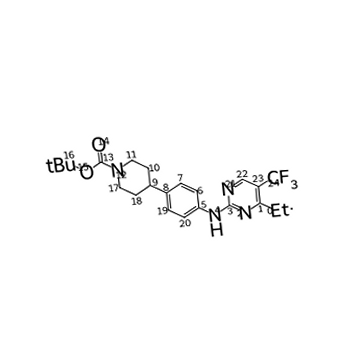 C[CH]c1nc(Nc2ccc(C3CCN(C(=O)OC(C)(C)C)CC3)cc2)ncc1C(F)(F)F